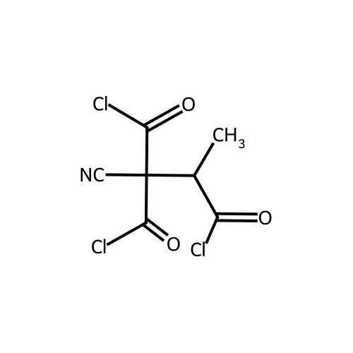 CC(C(=O)Cl)C(C#N)(C(=O)Cl)C(=O)Cl